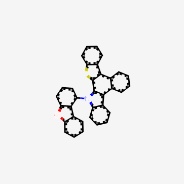 c1ccc2c(c1)oc1cccc(-n3c4ccccc4c4c5ccccc5c5c6ccccc6sc5c43)c12